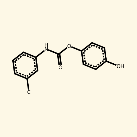 O=C(Nc1cccc(Cl)c1)Oc1ccc(O)cc1